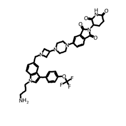 NCCCn1cc(-c2ccc(OC(F)(F)F)cc2)c2cc(CN3CC(N4CCN(c5ccc6c(c5)C(=O)N(C5CCC(=O)NC5=O)C6=O)CC4)C3)ccc21